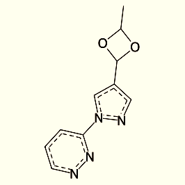 CC1OC(c2cnn(-c3cccnn3)c2)O1